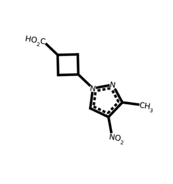 Cc1nn(C2CC(C(=O)O)C2)cc1[N+](=O)[O-]